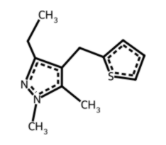 CCc1nn(C)c(C)c1Cc1cccs1